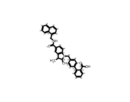 CC1c2cc(C(=O)NCc3cccc4ccccc34)ccc2N(Cc2ccc(-c3ccccc3C(=O)O)cc2)C1C